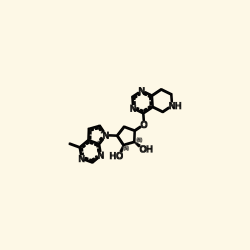 Cc1ncnc2c1ccn2C1CC(Oc2ncnc3c2CNCC3)[C@@H](O)[C@H]1O